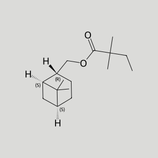 CCC(C)(C)C(=O)OC[C@@H]1CC[C@H]2C[C@@H]1C2(C)C